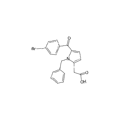 O=C(O)Cc1ccc(C(=O)c2ccc(Br)cc2)n1Cc1ccccc1